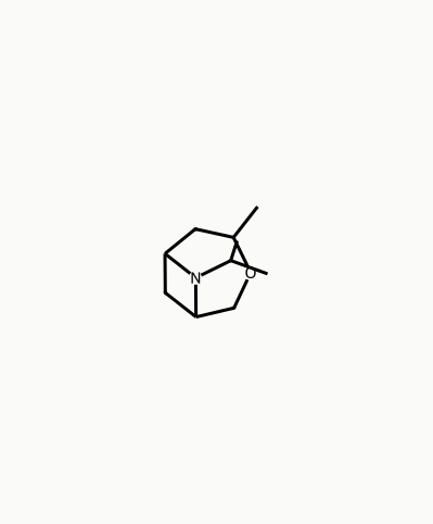 CC1CC2CC(CO1)N2C(C)C